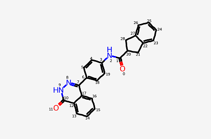 O=C(Nc1ccc(-c2n[nH]c(=O)c3ccccc23)cc1)C1Cc2ccccc2C1